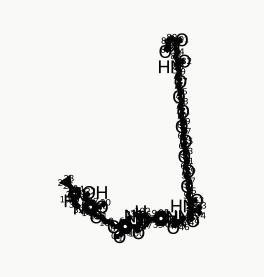 COc1cc2c(cc1OCCCOc1cc3c(cc1OC)C(O)N1C=C(C4CC4)C[C@H]1C=N3)N=C[C@@H]1CC(c3ccc(NC(=O)[C@H](C)NC(=O)C(NC(=O)CCOCCOCCOCCOCCOCCOCCOCCOCCNC(=O)CCN4C(=O)C=CC4=O)C(C)C)cc3)=CN1C2=O